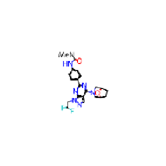 CNC(=O)Nc1ccc(-c2nc(N3CC4CCC(C3)O4)c3cnn(CC(F)F)c3n2)cc1